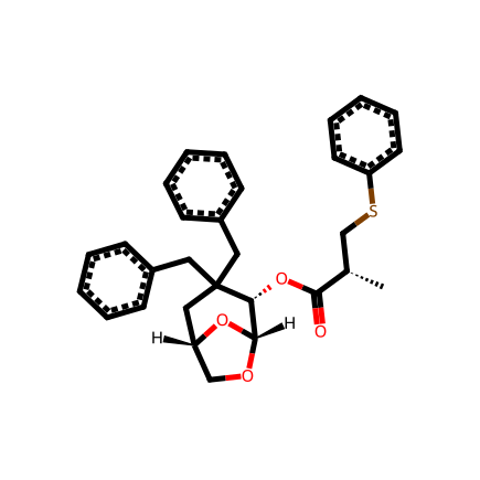 C[C@@H](CSc1ccccc1)C(=O)O[C@@H]1[C@@H]2OC[C@H](CC1(Cc1ccccc1)Cc1ccccc1)O2